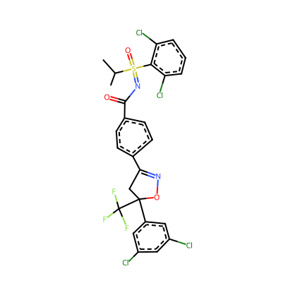 CC(C)S(=O)(=NC(=O)c1ccc(C2=NOC(c3cc(Cl)cc(Cl)c3)(C(F)(F)F)C2)cc1)c1c(Cl)cccc1Cl